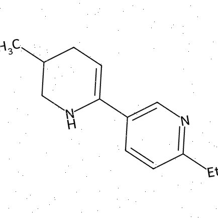 CCc1ccc(C2=CCC(C)CN2)cn1